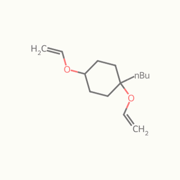 C=COC1CCC(CCCC)(OC=C)CC1